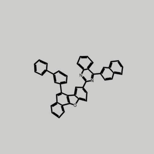 c1ccc(-c2cccc(-c3cc4ccccc4c4oc5ccc(-c6nc(-c7ccc8ccccc8c7)c7ccccc7n6)cc5c34)c2)cc1